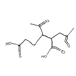 CC(=O)CC(C(=O)O)C(CCC(=O)O)C(C)=O